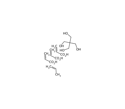 C=CC.C=CC(=O)O.C=CC(=O)O.C=CC(=O)O.OCC(CO)(CO)CO